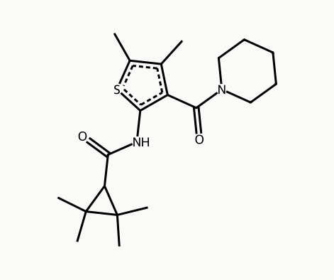 Cc1sc(NC(=O)C2C(C)(C)C2(C)C)c(C(=O)N2CCCCC2)c1C